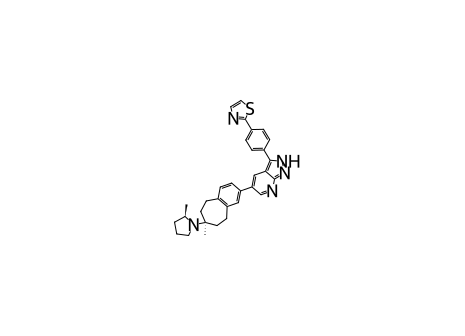 C[C@@H]1CCCN1[C@@]1(C)CCc2ccc(-c3cnc4n[nH]c(-c5ccc(-c6nccs6)cc5)c4c3)cc2CC1